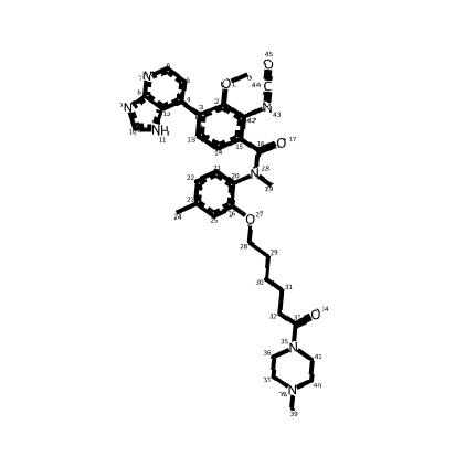 COc1c(-c2ccnc3nc[nH]c23)ccc(C(=O)N(C)c2ccc(C)cc2OCCCCCC(=O)N2CCN(C)CC2)c1N=C=O